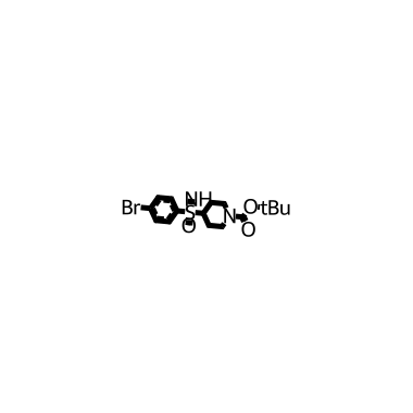 CC(C)(C)OC(=O)N1CCC(S(=N)(=O)c2ccc(Br)cc2)CC1